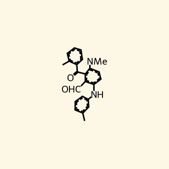 CNc1ccc(Nc2cccc(C)c2)c(C=O)c1C(=O)c1ccccc1C